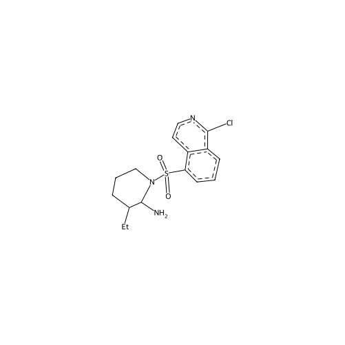 CCC1CCCN(S(=O)(=O)c2cccc3c(Cl)nccc23)C1N